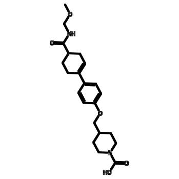 COCNC(=O)C1CC=C(c2ccc(OCC3CCN(C(=O)O)CC3)cc2)CC1